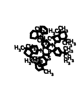 Cc1cc2c(cc1N1c3cc(C(C)(C)C)ccc3B3c4sc5cc6c(cc5c4N(c4ccc5c(c4)C(C)(C)CCC5(C)C)c4cc(N5c7ccccc7C7(C)CCCCC57C)cc1c43)C1(C)CCC6(C)CC1)C(C)(C)CCC2(C)C